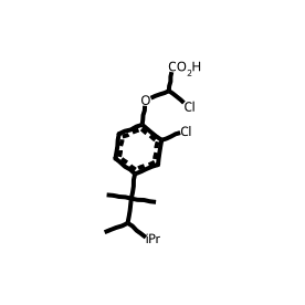 CC(C)C(C)C(C)(C)c1ccc(OC(Cl)C(=O)O)c(Cl)c1